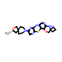 C[C@H]1CC2(CCN(c3cnc(Sc4ccnc5c4OCC4(CCC4)N5)c(N)n3)CC2)CO1